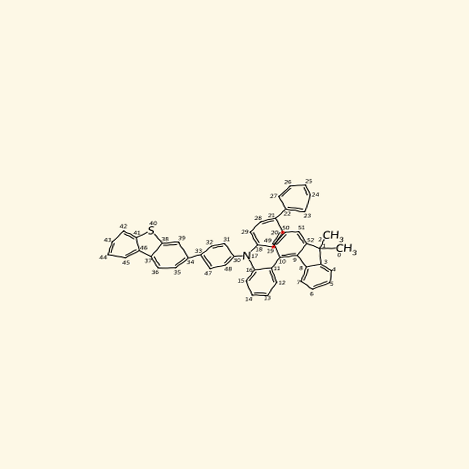 CC1(C)c2ccccc2-c2c(-c3ccccc3N(c3ccc(-c4ccccc4)cc3)c3ccc(-c4ccc5c(c4)sc4ccccc45)cc3)cccc21